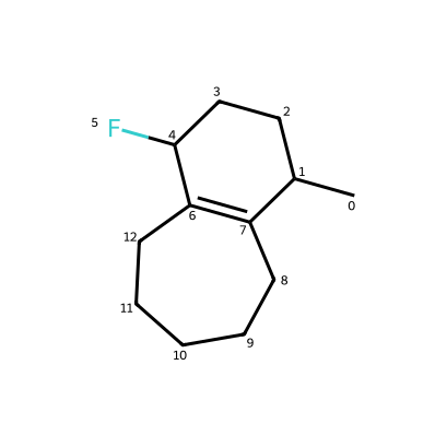 CC1CCC(F)C2=C1CCCCC2